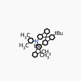 Cc1cc(C)cc(N(c2ccc3c(c2)-c2ccccc2C3(C)C)c2ccc3c(c2)C2(c4ccccc4-3)c3cc(C(C)(C)C)ccc3-c3ccc(C(C)(C)C)cc32)c1